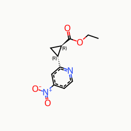 CCOC(=O)[C@@H]1C[C@H]1c1cc([N+](=O)[O-])ccn1